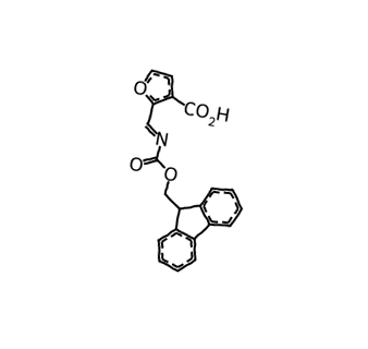 O=C(N=Cc1occc1C(=O)O)OCC1c2ccccc2-c2ccccc21